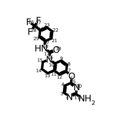 Nc1nccc(Oc2ccc3c(c2)CCCN3C(=O)Nc2cccc(C(F)(F)F)c2)n1